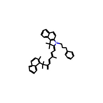 C=C(/C=C/C(C)=C/C=C1/N(CCCc2ccccc2)c2ccc3ccccc3c2C1(C)C)C(C)(C)c1c(C)ccc2ccccc12